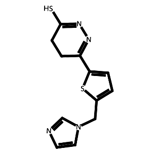 SC1=NN=C(c2ccc(Cn3ccnc3)s2)CC1